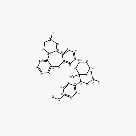 CN1CCN2c3ncccc3Cc3ccccc3C2C1.COc1ccc(C(CN(C)C)C2(O)CCCCC2)cc1